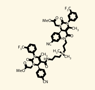 COC(=O)CN1C(=O)N(c2cccc(C(F)(F)F)c2)C(C)=C(C(=O)NCCC[N+](C)(C)CCCNC(=O)C2=C(C)N(c3cccc(C(F)(F)F)c3)C(=O)N(CC(=O)OC)[C@@H]2c2ccc(C#N)cc2)[C@H]1c1ccc(C#N)cc1